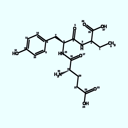 CCC(NC(=O)[C@H](Cc1ccc(O)cc1)NC(=O)[C@@H](N)CCC(=O)O)C(=O)O